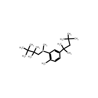 CB(CC(C)(C)C(C)(C)C)c1cc(C(C)(C)CC(C)(C)C)ccc1C